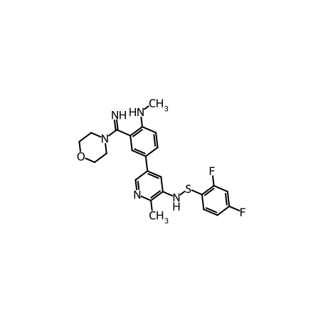 CNc1ccc(-c2cnc(C)c(NSc3ccc(F)cc3F)c2)cc1C(=N)N1CCOCC1